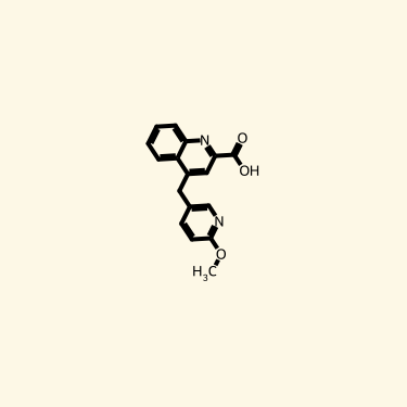 COc1ccc(Cc2cc(C(=O)O)nc3ccccc23)cn1